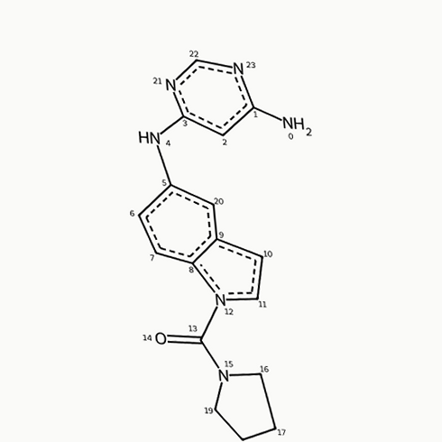 Nc1cc(Nc2ccc3c(ccn3C(=O)N3CCCC3)c2)ncn1